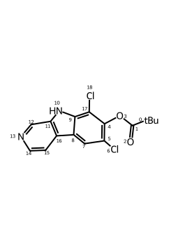 CC(C)(C)C(=O)Oc1c(Cl)cc2c([nH]c3cnccc32)c1Cl